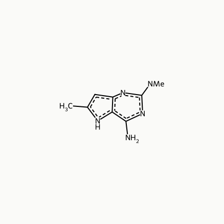 CNc1nc(N)c2[nH]c(C)cc2n1